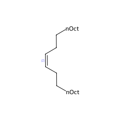 [CH2]CCCCCCCCC/C=C\CCCCCCCCCC